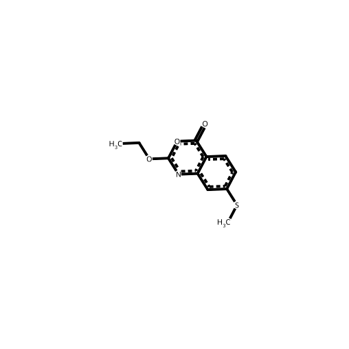 CCOc1nc2cc(SC)ccc2c(=O)o1